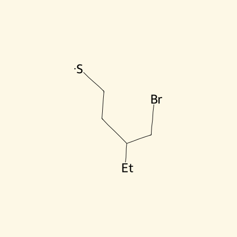 CCC(CBr)CC[S]